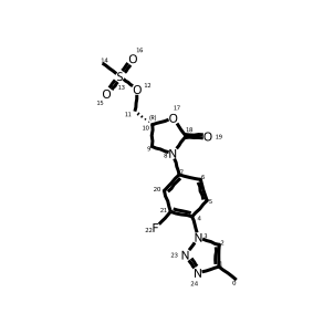 Cc1cn(-c2ccc(N3C[C@H](COS(C)(=O)=O)OC3=O)cc2F)nn1